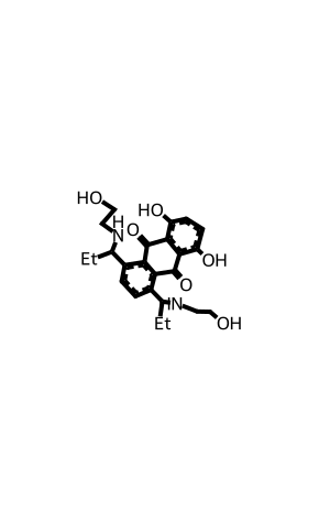 CCC(NCCO)c1ccc(C(CC)NCCO)c2c1C(=O)c1c(O)ccc(O)c1C2=O